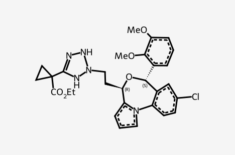 CCOC(=O)C1(C2=NNN(CC[C@H]3O[C@H](c4cccc(OC)c4OC)c4cc(Cl)ccc4-n4cccc43)N2)CC1